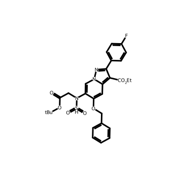 CCOC(=O)c1c(-c2ccc(F)cc2)nn2cc(N(CC(=O)OC(C)(C)C)[SH](=O)=O)c(OCc3ccccc3)cc12